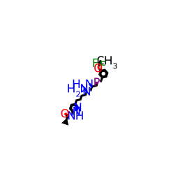 CC(F)(F)Oc1cccc(C/P=C/C(N)CN(N)CCCCc2ccc(NC(=O)C3CC3)nn2)c1